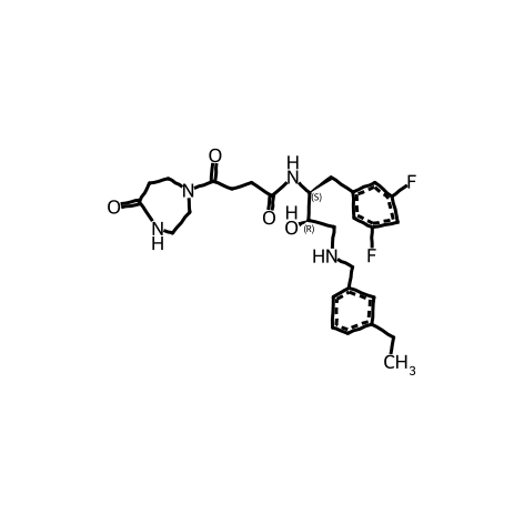 CCc1cccc(CNC[C@@H](O)[C@H](Cc2cc(F)cc(F)c2)NC(=O)CCC(=O)N2CCNC(=O)CC2)c1